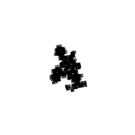 C=CCN1CC(=O)N2C(Cc3ccc(C(=N)N)cc3)C(=O)N(Cc3cccc4scnc34)CC2N1C(=O)NCc1ccccc1